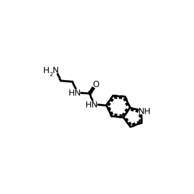 NCCNC(=O)Nc1ccc2[nH]ccc2c1